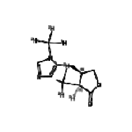 [2H]C([2H])([2H])n1cncc1C[C@H]1COC(=O)[C@@]1([2H])C([2H])([2H])C